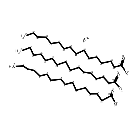 CCCCCCCCCCCCCCCC(=O)[O-].CCCCCCCCCCCCCCCC(=O)[O-].CCCCCCCCCCCCCCCC(=O)[O-].[Al+3]